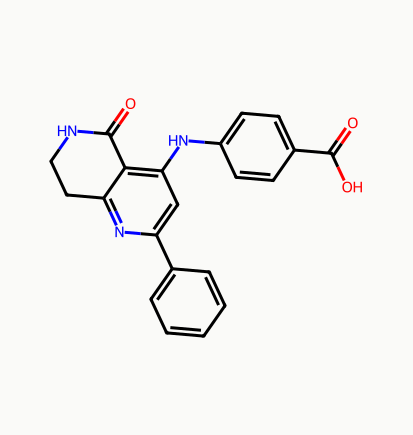 O=C(O)c1ccc(Nc2cc(-c3ccccc3)nc3c2C(=O)NCC3)cc1